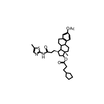 CC(=O)Oc1ccc2c(c1)CCC1C2CC[C@]2(C)C(OC(=O)CCC3CCCC3)C[C@@H](CCC(=O)Nc3ncc(C)s3)C12